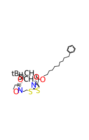 CC(C)(C)[Si](C)(C)OC[C@H]1CCON1CCSc1nc(C(=O)OCCCCCCCCCCc2ccccc2)cs1